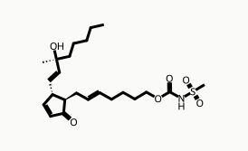 CCCCC[C@](C)(O)C=C[C@H]1C=CC(=O)[C@@H]1CC=CCCCCOC(=O)NS(C)(=O)=O